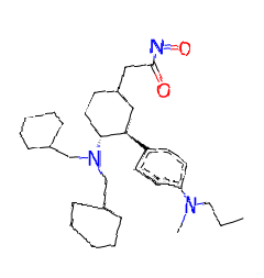 CCCN(C)c1ccc([C@@H]2CC(CC(=O)N=O)CC[C@H]2N(CC2CCCCC2)CC2CCCCC2)cc1